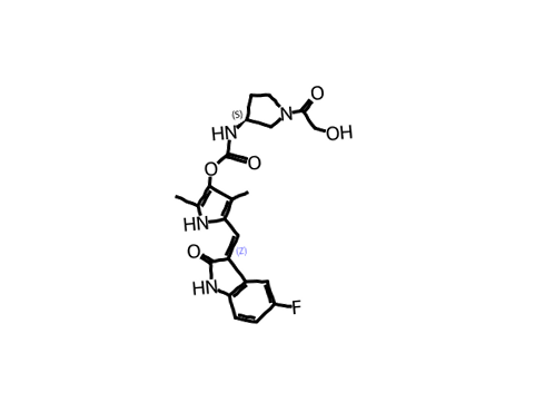 Cc1[nH]c(/C=C2\C(=O)Nc3ccc(F)cc32)c(C)c1OC(=O)N[C@H]1CCN(C(=O)CO)C1